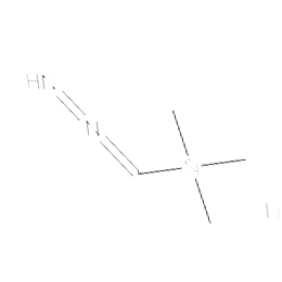 C[Si](C)(C)C=[N+]=N.[LiH]